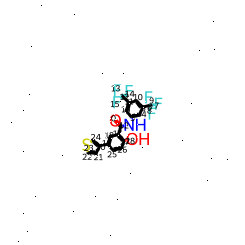 O=C(Nc1cc(C(F)(F)F)cc(C(F)(F)F)c1)c1cc(-c2ccsc2)ccc1O